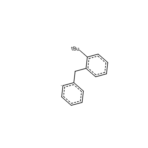 CC(C)(C)c1ccccc1Cc1[c]cccc1